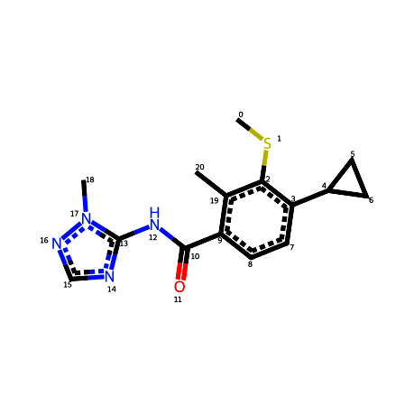 CSc1c(C2CC2)ccc(C(=O)Nc2ncnn2C)c1C